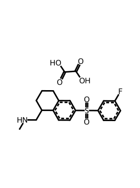 CNCC1CCCc2cc(S(=O)(=O)c3cccc(F)c3)ccc21.O=C(O)C(=O)O